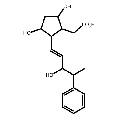 CC(c1ccccc1)C(O)C=CC1C(O)CC(O)C1CC(=O)O